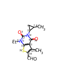 CCn1c(=O)n(C2CC2C)c(=O)c2c(C)c(C=O)sc21